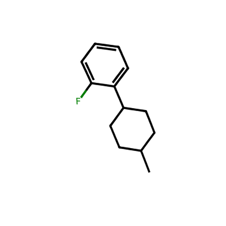 CC1CCC(c2ccccc2F)CC1